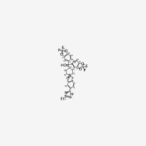 CCn1nnc(-c2ccc(C[N+]3([O-])CCC(C(O)(c4ccc5c(c4)OC(F)(F)O5)c4ccc5c(c4)OC(F)(F)O5)CC3)cc2)n1